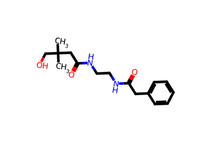 CC(C)(CO)CC(=O)NCCNC(=O)Cc1ccccc1